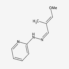 CO/C=C(C)/C=N\Nc1ccccn1